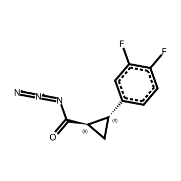 [N-]=[N+]=NC(=O)[C@@H]1C[C@H]1c1ccc(F)c(F)c1